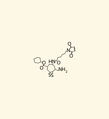 NCC1CC(NC(=O)CCCCCN2C(=O)C=CC2=O)CC(C(=O)OC2CCCCC2)CC2SSC12